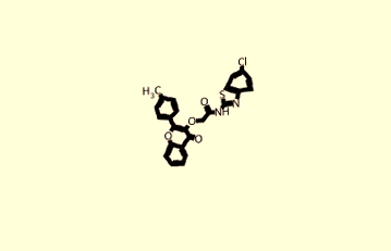 Cc1ccc(-c2oc3ccccc3c(=O)c2OCC(=O)Nc2nc3ccc(Cl)cc3s2)cc1